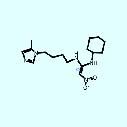 Cc1cncn1CCCCN/C(=C/[N+](=O)[O-])NC1CCCCC1